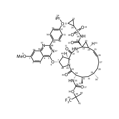 COc1ccc2c(O[C@@H]3C[C@H]4C(=O)N[C@]5(C(=O)NS(=O)(=O)C6CC6)C[C@H]5/C=C\CC[C@H](C)C[C@@H](C)[C@H](NC(=O)OC(C)(C)C(F)(F)F)C(=O)N4C3)nc(-c3ccc(OC(C)C)cc3)nc2c1